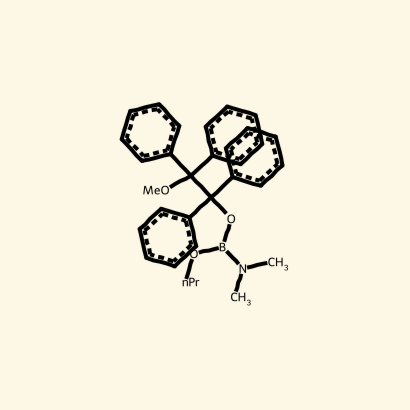 CCCOB(OC(c1ccccc1)(c1ccccc1)C(OC)(c1ccccc1)c1ccccc1)N(C)C